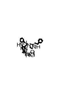 CC(C)n1nc2c(n1)C(N1CCN[C@@H](CCc3ccccc3)C1)=Nc1ccccc1N2.Cl.Cl.O